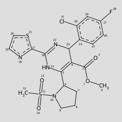 COC(=O)C1=C(C2CCCN2S(C)(=O)=O)NC(c2nccs2)=NC1c1ccc(F)cc1Cl